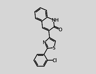 O=c1[nH]c2ccccc2cc1-c1csc(-c2ccccc2Cl)n1